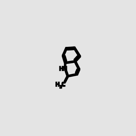 CC1C=Cc2ccccc2N1